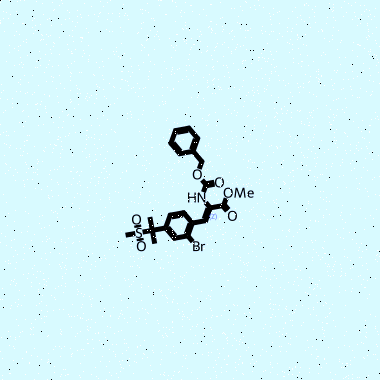 COC(=O)/C(=C/c1ccc(C(C)(C)S(C)(=O)=O)cc1Br)NC(=O)OCc1ccccc1